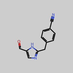 N#Cc1ccc(Cc2ncc(C=O)[nH]2)cc1